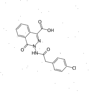 O=C(Cc1ccc(Cl)cc1)Nn1nc(C(=O)O)c2ccccc2c1=O